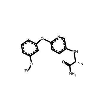 CC(C)Oc1cccc(Oc2ccc(N[C@H](C)C(N)=O)cn2)c1